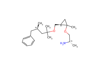 C[C@H](Cc1ccccc1)CC(C)(C)OC[C@H]1CC1(C)OC[C@H](C)N